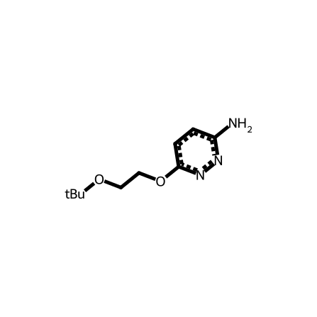 CC(C)(C)OCCOc1ccc(N)nn1